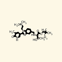 Cc1cc(-c2nc3cc(CN[C@H](C(=O)OCC(C)(C)C)[C@@H](C)O)ccc3n2CCN(C)C)c[nH]c1=O